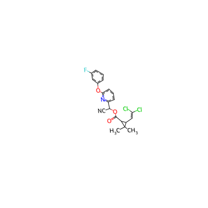 CC1(C)C(C=C(Cl)Cl)C1C(=O)OC(C#N)c1cccc(Oc2cccc(F)c2)n1